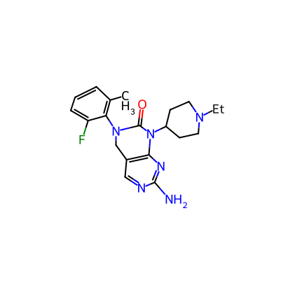 CCN1CCC(N2C(=O)N(c3c(C)cccc3F)Cc3cnc(N)nc32)CC1